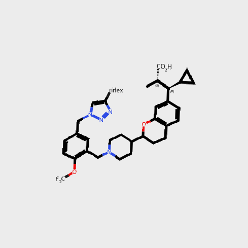 CCCCCCc1cn(Cc2ccc(OC(F)(F)F)c(CN3CCC(C4CCc5ccc([C@H](C6CC6)[C@H](C)C(=O)O)cc5O4)CC3)c2)nn1